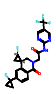 O=C(CN1C[C@]2(C[C@@H]2F)c2cc(C3(F)CC3)ccc2C1=O)Nc1ncc(C(F)(F)F)cn1